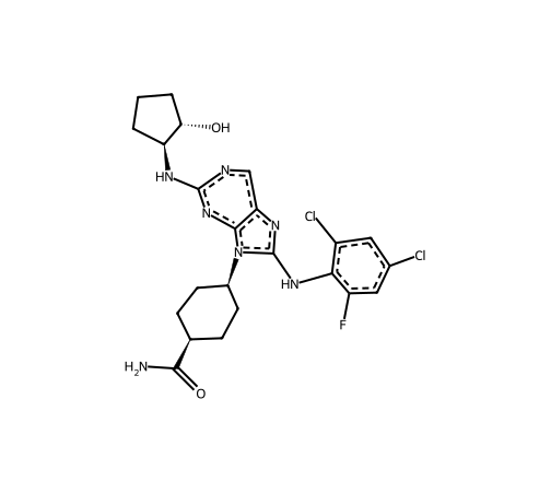 NC(=O)[C@H]1CC[C@@H](n2c(Nc3c(F)cc(Cl)cc3Cl)nc3cnc(N[C@H]4CCC[C@@H]4O)nc32)CC1